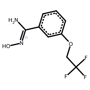 N/C(=N\O)c1cccc(OCC(F)(F)F)c1